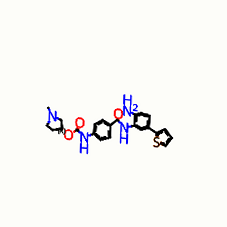 CN1CC[C@@H](OC(=O)Nc2ccc(C(=O)Nc3cc(-c4cccs4)ccc3N)cc2)C1